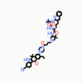 CCc1cc2c(cc1N1CCN(C(=O)CCCN3C[C@H](NC(=O)[C@H](CCCc4cc5ccccc5nc4N)NC(=O)OC(C)(C)C)C(C)(C)C3)CC1)C(C)(C)c1[nH]c3cc(C#N)ccc3c1C2=O